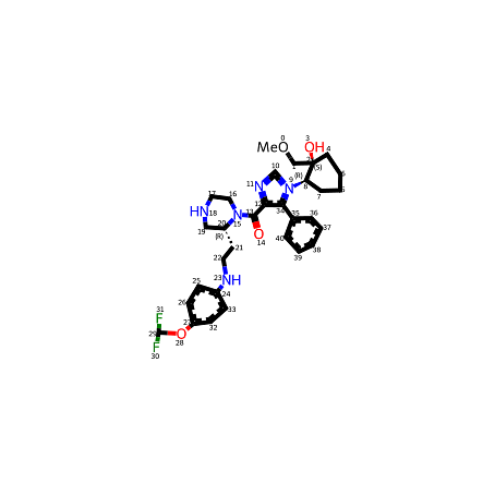 COC[C@]1(O)CCCC[C@H]1n1cnc(C(=O)N2CCNC[C@H]2CCNc2ccc(OC(F)F)cc2)c1-c1ccccc1